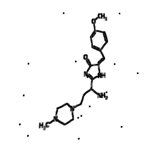 COc1ccc(C=C2NC(C(N)CCN3CCN(C)CC3)=NC2=O)cc1